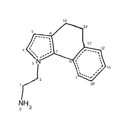 NCCn1ccc2c1-c1ccccc1CC2